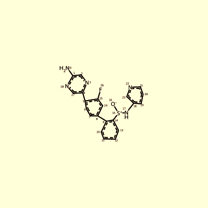 Nc1cnc(-c2ccc(-c3ccccc3[S+]([O-])Nc3cccnc3)cc2F)cn1